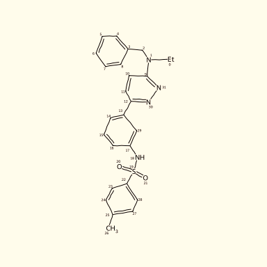 CCN(Cc1ccccc1)c1ccc(-c2cccc(NS(=O)(=O)c3ccc(C)cc3)c2)nn1